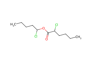 CCCCC(Cl)OC(=O)C(Cl)CCCC